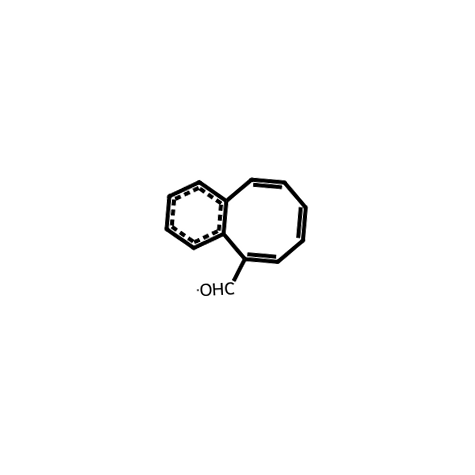 O=[C]C1=C/C=C\C=C/c2ccccc21